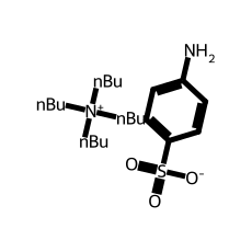 CCCC[N+](CCCC)(CCCC)CCCC.Nc1ccc(S(=O)(=O)[O-])cc1